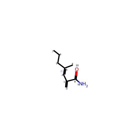 C=C(/C=C(\C)CCC)C(N)=O